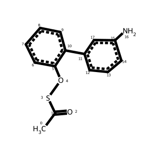 CC(=O)SOc1ccccc1-c1cccc(N)c1